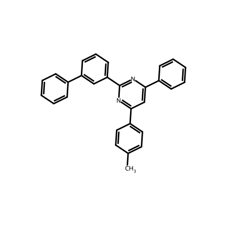 Cc1ccc(-c2cc(-c3ccccc3)nc(-c3cccc(-c4ccccc4)c3)n2)cc1